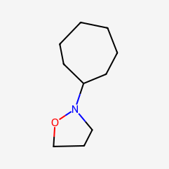 C1CCCC(N2CCCO2)CC1